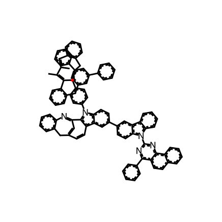 CC1=C\c2ccccc2C/C=C(c2ccc(-n3c4c(c5cc(-c6ccc7c(c6)c6ccccc6n7-c6nc(-c7ccccc7)c7ccc8ccccc8c7n6)ccc53)C=CC3=CC4=Nc4ccccc4C3)cc2)/C(c2ccccc2Cc2cc(-c3ccccc3)cc(-c3ccccc3)c2)=C\1C